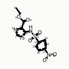 CCOC(=O)c1ncsc1NS(=O)(=O)c1ccc([N+](=O)[O-])cc1